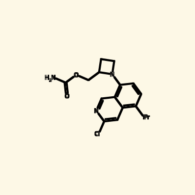 CC(C)c1ccc(N2CCC2COC(N)=O)c2cnc(Cl)cc12